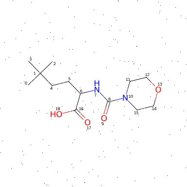 CC(C)(C)CCC(NC(=O)N1CCOCC1)C(=O)O